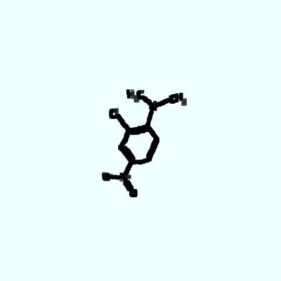 CN(C)c1ccc([N+](=O)[O-])cc1Cl